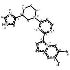 Fc1cc2ncc(-c3nccc(N4CCOC(c5c[nH]cn5)C4)n3)n2cc1Br